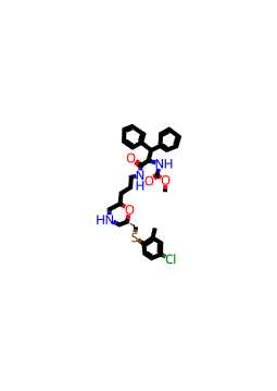 COC(=O)NC(C(=O)NCCCC1CNC[C@@H](CSc2ccc(Cl)cc2C)O1)C(c1ccccc1)c1ccccc1